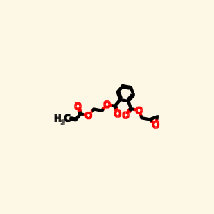 C=CC(=O)OCCOC(=O)c1ccccc1C(=O)OCC1CO1